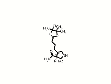 CC(=O)N[C@@]1(C(N)=O)CNC[C@@H]1CCCB1OC(C)(C)C(C)(C)O1